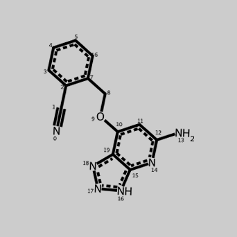 N#Cc1ccc[c]c1COc1cc(N)nc2[nH]nnc12